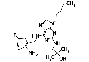 CCCCCn1cnc2c(NCc3cc(F)ccc3N)nc(NCC(C)(C)O)nc21